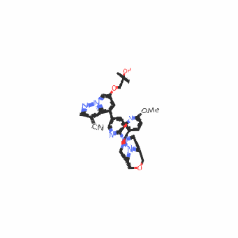 COc1ccc(CN2C3COCC2CN(c2ccc(-c4cc(OCC(C)(C)O)cn5ncc(C#N)c45)cn2)C3)cn1